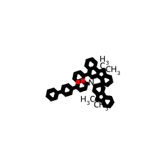 CC1(C)c2ccccc2-c2ccc(N(c3ccc(-c4ccc(-c5ccccc5)cc4)cc3)c3c4c(c5ccccc5c3-c3ccccc3)C(C)(C)c3ccccc3-4)cc21